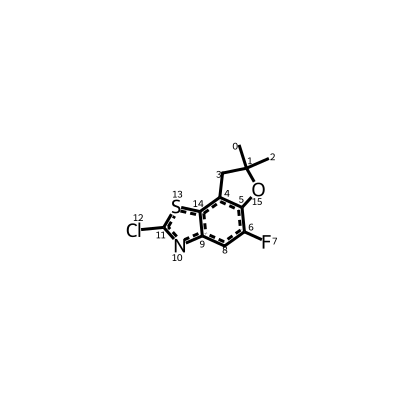 CC1(C)Cc2c(c(F)cc3nc(Cl)sc23)O1